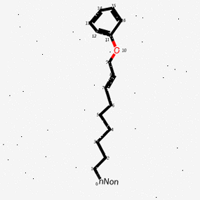 CCCCCCCCCCCCCCCC=CCOc1ccccc1